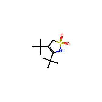 CC(C)(C)C1=C(C(C)(C)C)NS(=O)(=O)C1